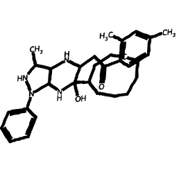 Cc1ccc(C(=O)CC2NC3C(C)NN(c4ccccc4)C3NC2(O)C2CCCCCCCC2)c(C)c1